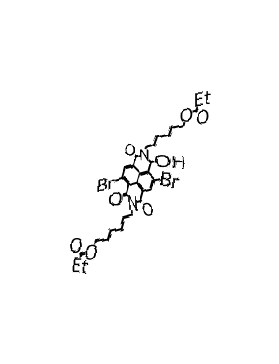 CCC(=O)OCCCCCCN1C(=O)c2cc(Br)c3c4c(cc(Br)c(c24)C1=O)C(=O)N(CCCCCCOC(=O)CC)C3O